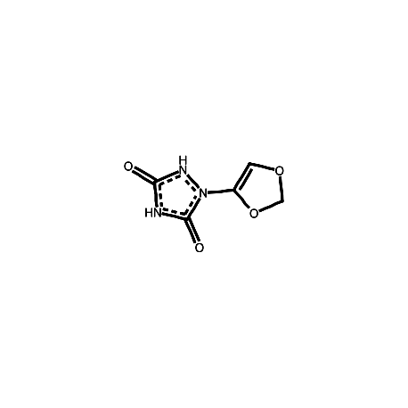 O=c1[nH]c(=O)n(C2=COCO2)[nH]1